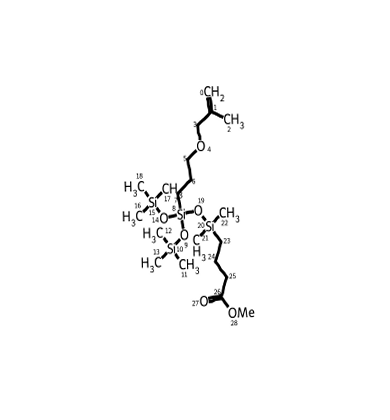 C=C(C)COCCC[Si](O[Si](C)(C)C)(O[Si](C)(C)C)O[Si](C)(C)CCCC(=O)OC